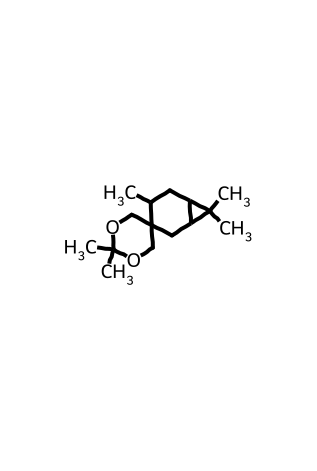 CC1CC2C(CC13COC(C)(C)OC3)C2(C)C